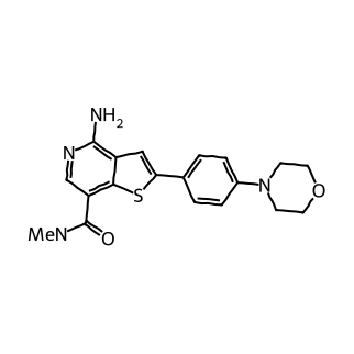 CNC(=O)c1cnc(N)c2cc(-c3ccc(N4CCOCC4)cc3)sc12